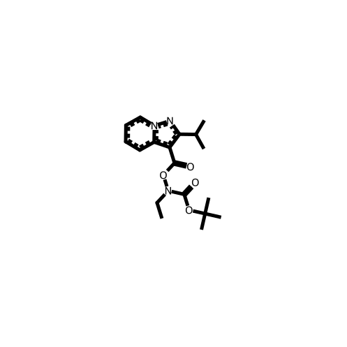 CCN(OC(=O)c1c(C(C)C)nn2ccccc12)C(=O)OC(C)(C)C